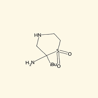 CCC(C)C1(N)CNCCS1(=O)=O